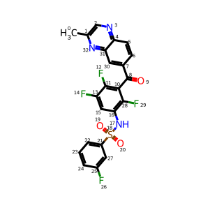 Cc1cnc2ccc(C(=O)c3c(F)c(F)cc(NS(=O)(=O)c4cccc(F)c4)c3F)cc2n1